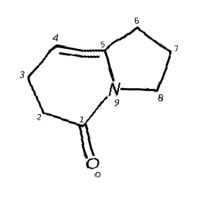 O=C1CCC=C2CCCN12